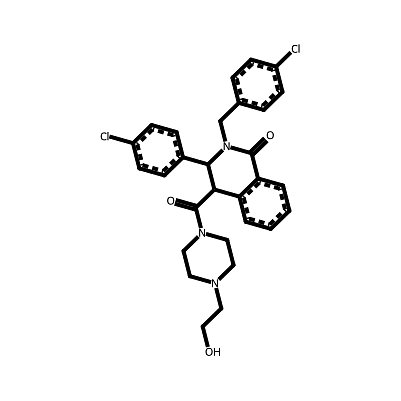 O=C(C1c2ccccc2C(=O)N(Cc2ccc(Cl)cc2)C1c1ccc(Cl)cc1)N1CCN(CCO)CC1